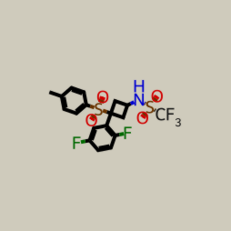 Cc1ccc(S(=O)(=O)C2(c3cc(F)ccc3F)CC(NS(=O)(=O)C(F)(F)F)C2)cc1